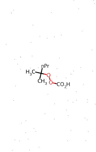 CCCC(C)(C)OOC(=O)O